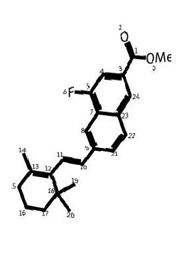 COC(=O)c1cc(F)c2cc(C=CC3=C(C)CCCC3(C)C)ccc2c1